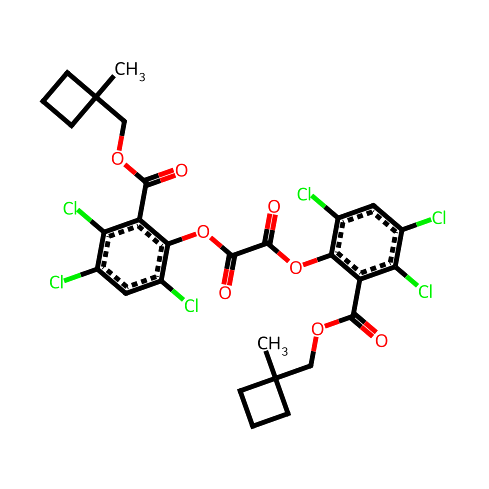 CC1(COC(=O)c2c(Cl)c(Cl)cc(Cl)c2OC(=O)C(=O)Oc2c(Cl)cc(Cl)c(Cl)c2C(=O)OCC2(C)CCC2)CCC1